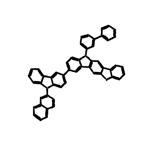 c1ccc(-c2cccc(-n3c4ccc(-c5ccc6c(c5)c5ccccc5n6-c5ccc6ccccc6c5)cc4c4cc5sc6ccccc6c5cc43)c2)cc1